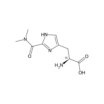 CN(C)C(=O)c1nc(C[C@H](N)C(=O)O)c[nH]1